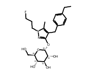 CCc1ccc(Cc2c(O[C@H]3O[C@H](CO)[C@@H](O)[C@H](O)[C@H]3O)nn(CCCF)c2C)cc1